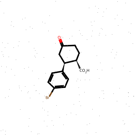 O=C1CC[C@@H](C(=O)O)[C@@H](c2ccc(Br)cc2)C1